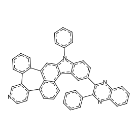 c1ccc(-c2nc3ccccc3nc2-c2ccc3c(c2)c2c4cccc5c4c(cc2n3-c2ccccc2)-c2ccccc2-c2cnccc2-5)cc1